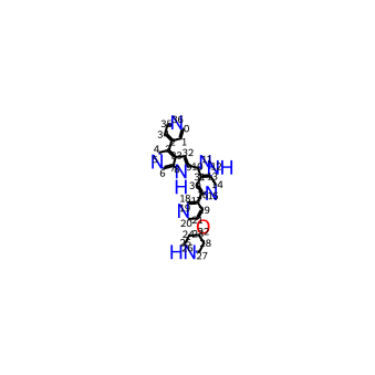 c1cc(-c2cncc3[nH]c(-c4n[nH]c5cnc(-c6cncc(OC7CCNCC7)c6)cc45)cc23)ccn1